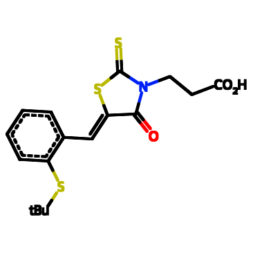 CC(C)(C)Sc1ccccc1C=C1SC(=S)N(CCC(=O)O)C1=O